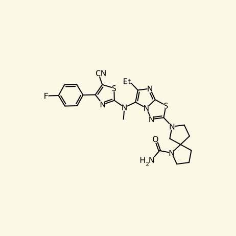 CCc1nc2sc(N3CCC4(CCCN4C(N)=O)C3)nn2c1N(C)c1nc(-c2ccc(F)cc2)c(C#N)s1